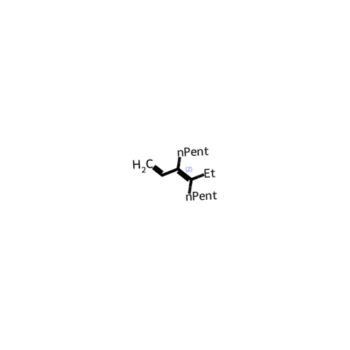 C=C/C(CCCCC)=C(/CC)CCCCC